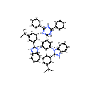 CC(C)c1cccc(-c2nc3ccccc3n2-c2cc(-c3nc(-c4ccccc4)nc(-c4ccccc4)n3)cc(-n3c(-c4cccc(C(C)C)c4)nc4ccccc43)c2)c1